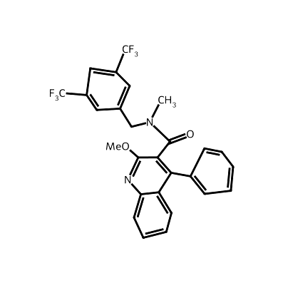 COc1nc2ccccc2c(-c2ccccc2)c1C(=O)N(C)Cc1cc(C(F)(F)F)cc(C(F)(F)F)c1